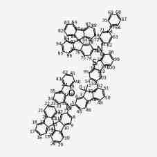 CC1(C)c2cc(N(c3ccc4c(c3)C3(c5ccccc5-c5ccccc53)c3ccccc3-4)c3cccc4c3oc3ccccc34)ccc2-c2cccc(-c3ccc4sc5c(N(c6ccc(-c7ccccc7)cc6)c6ccc7c(c6)C6(c8ccccc8-c8ccccc86)c6ccccc6-7)cccc5c4c3)c21